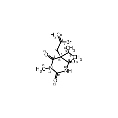 C=C(Br)C[C@@]1(C(C)C)C(=O)NC(=O)N(C)C1=O